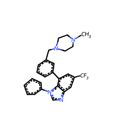 CN1CCN(Cc2cccc(-c3cc(C(F)(F)F)cc4ncn(-c5ccccc5)c34)c2)CC1